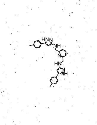 Cc1ccc(-c2cc(NCc3cccc(CNc4cc(-c5ccc(C)cc5)[nH]n4)n3)n[nH]2)cc1